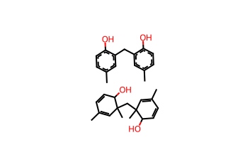 CC1=CC(C)(CC2(C)C=C(C)C=CC2O)C(O)C=C1.Cc1ccc(O)c(Cc2cc(C)ccc2O)c1